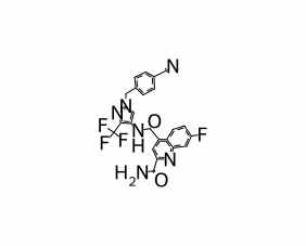 N#Cc1ccc(Cn2cc(NC(=O)c3cc(C(N)=O)nc4cc(F)ccc34)c(C(F)(F)F)n2)cc1